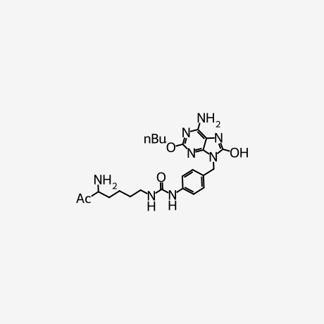 CCCCOc1nc(N)c2nc(O)n(Cc3ccc(NC(=O)NCCCCC(N)C(C)=O)cc3)c2n1